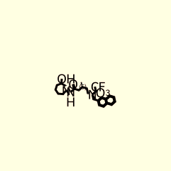 C[C@@H](CCN(Cc1ccc2ccccc2c1)C(=O)C(F)(F)F)CC(=O)NN1CCCCC(O)C1